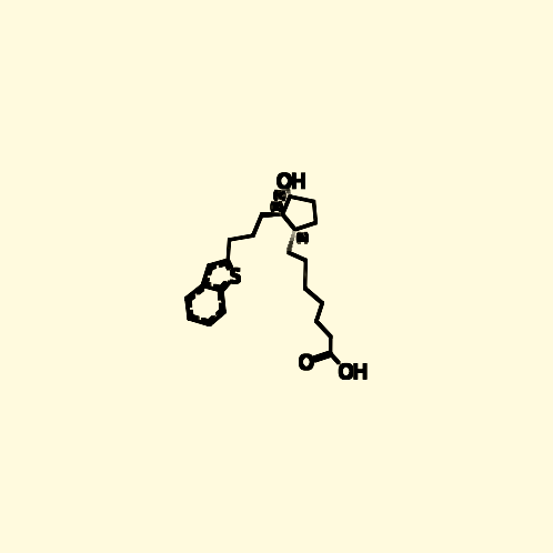 O=C(O)CCCCCC[C@H]1CC[C@@H](O)[C@@H]1CCCc1cc2ccccc2s1